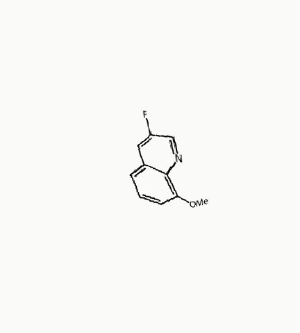 COc1cccc2cc(F)cnc12